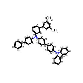 Cc1cc(C)cc(-c2cccc(N(c3ccc(-c4ccccc4)cc3)c3ccc(-c4ccc(-n5c6ccccc6c6ccccc65)cc4)cc3)c2)c1